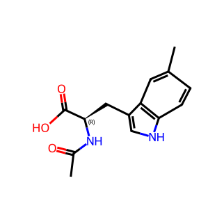 CC(=O)N[C@H](Cc1c[nH]c2ccc(C)cc12)C(=O)O